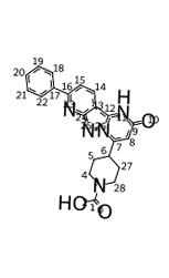 O=C(O)N1CCC(c2cc(=O)[nH]c3c4ccc(-c5ccccc5)nc4nn23)CC1